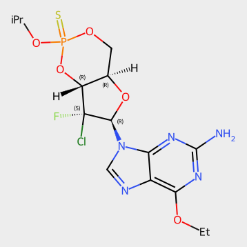 CCOc1nc(N)nc2c1ncn2[C@@H]1O[C@@H]2COP(=S)(OC(C)C)O[C@H]2[C@]1(F)Cl